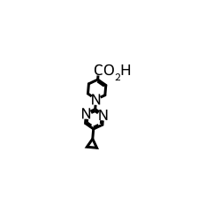 O=C(O)C1=CCN(c2ncc(C3CC3)cn2)CC1